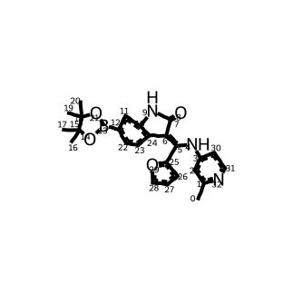 Cc1cc(N/C(=C2\C(=O)Nc3cc(B4OC(C)(C)C(C)(C)O4)ccc32)c2ccco2)ccn1